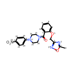 Cc1nc(COc2ccccc2C(=O)N2CCN(c3ccc([N+](=O)[O-])cc3)CC2)no1